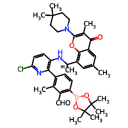 Cc1cc([C@@H](C)Nc2ccc(Cl)nc2-c2ccc(B3OC(C)(C)C(C)(C)O3)c(C=O)c2C)c2oc(N3CCC(C)(C)CC3)c(C)c(=O)c2c1